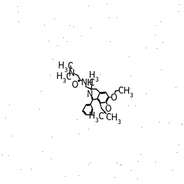 CCOc1cc2c(c3c1OC(C)(C)C3)C(c1ccccc1)=NC(C)(CNC(=O)CN(C)C)C2